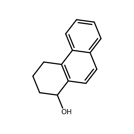 OC1CCCc2c1ccc1ccccc21